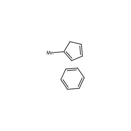 [Mn][C]1=CC=CC1.c1ccccc1